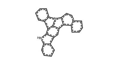 c1ccc2c(c1)ccc1c2c2cc3c4ccccc4[nH]c3c3c4ccccc4n1c23